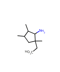 CC1CC(C)(CC(=O)O)C(N)C1C